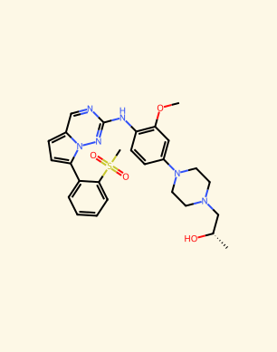 COc1cc(N2CCN(C[C@H](C)O)CC2)ccc1Nc1ncc2ccc(-c3ccccc3S(C)(=O)=O)n2n1